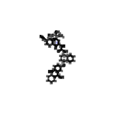 CC(C)(C)C(=N)/C=C(/NC(=O)N[C@H]1CC[C@@H](Oc2ccc(=N)n(C(=N)N3CCCCC3)c2)c2ccccc21)Nc1ccc(C#N)cc1